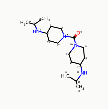 CC(C)NC1CCN(C(=O)N2CCC(NC(C)C)CC2)CC1